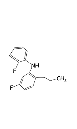 CCCc1ccc(F)cc1Nc1ccccc1F